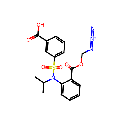 CC(C)N(c1ccccc1C(=O)OCN=[N+]=[N-])S(=O)(=O)c1cccc(C(=O)O)c1